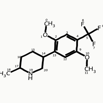 COc1cc(C(F)(F)F)c(OC)cc1C1CCC(C)NC1